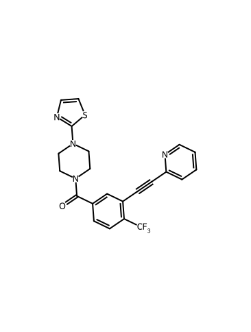 O=C(c1ccc(C(F)(F)F)c(C#Cc2ccccn2)c1)N1CCN(c2nccs2)CC1